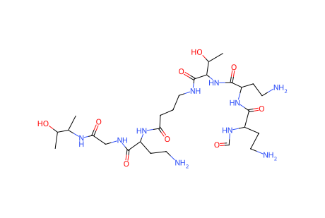 CC(O)C(C)NC(=O)CNC(=O)C(CCN)NC(=O)CCCNC(=O)C(NC(=O)C(CCN)NC(=O)C(CCN)NC=O)C(C)O